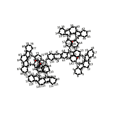 c1ccc(-n2c3ccccc3c3ccc4c5ccccc5n(-c5ccc(N(c6ccc(-n7c8ccccc8c8ccc9c%10ccccc%10n(-c%10ccccc%10)c9c87)cc6)c6ccc7c(c6)Sc6ccc(N(c8ccc(-n9c%10ccccc%10c%10ccc%11c%12ccccc%12n(-c%12ccccc%12)c%11c%109)cc8)c8ccc(-n9c%10ccccc%10c%10ccc%11c%12ccccc%12n(-c%12ccccc%12)c%11c%109)cc8)cc6S7)cc5)c4c32)cc1